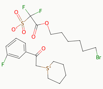 O=C(C[S+]1CCCCC1)c1cccc(F)c1.O=C(OCCCCCCBr)C(F)(F)S(=O)(=O)[O-]